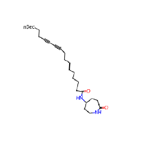 CCCCCCCCCCCCC#CC#CCCCCCCCCC(=O)NC1CCNC(=O)CC1